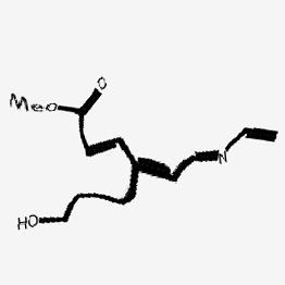 C=C/N=C/C=C(\C=C\C(=O)OC)CCCO